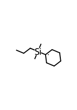 CCC[Si](C)(C)[C]1CCCCC1